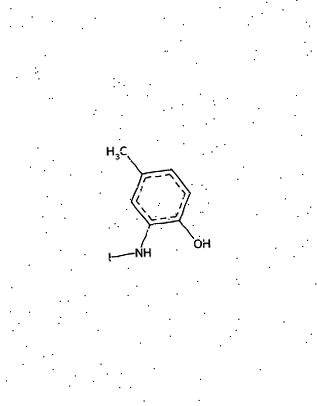 Cc1ccc(O)c(NI)c1